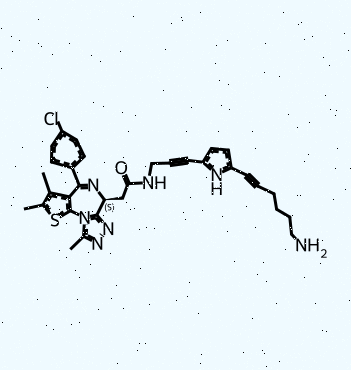 Cc1sc2c(c1C)C(c1ccc(Cl)cc1)=N[C@@H](CC(=O)NCC#Cc1ccc(C#CCCCCN)[nH]1)c1nnc(C)n1-2